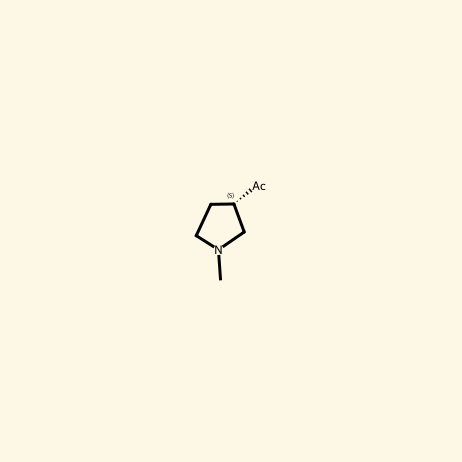 CC(=O)[C@H]1CCN(C)C1